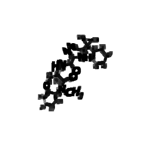 CN1C(=O)[C@@H](NC(=O)c2nnc(C3(c4ccccc4)CC3)[nH]2)COc2ccccc21